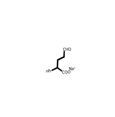 CCCC(CCC=O)C(=O)[O-].[Na+]